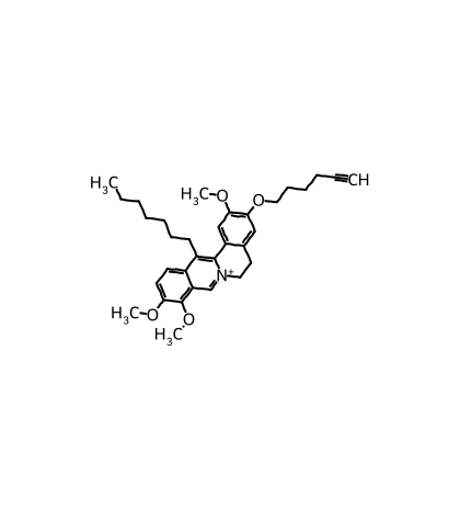 C#CCCCCOc1cc2c(cc1OC)-c1c(CCCCCCC)c3ccc(OC)c(OC)c3c[n+]1CC2